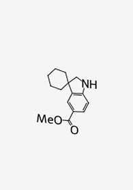 COC(=O)c1ccc2c(c1)C1(CCCCC1)CN2